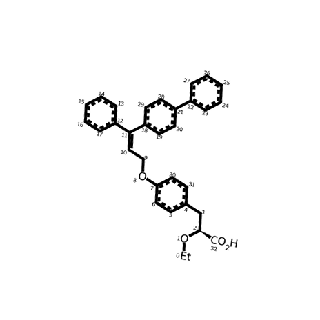 CCO[C@@H](Cc1ccc(OC/C=C(/c2ccccc2)c2ccc(-c3ccccc3)cc2)cc1)C(=O)O